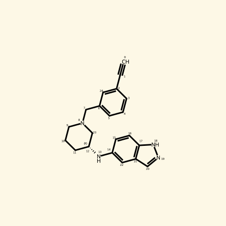 C#Cc1cccc(CN2CCC[C@@H](Nc3ccc4[nH]ncc4c3)C2)c1